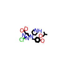 COC(=O)c1cc(N(Cc2ccc(OC)c(OCC(C)C)c2)C2CCNCC2)nc(Cl)n1